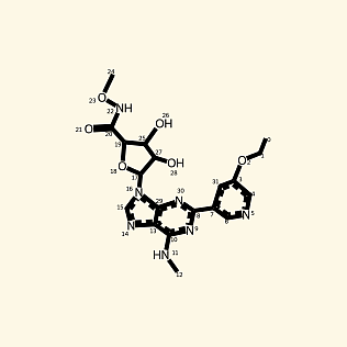 CCOc1cncc(-c2nc(NC)c3ncn(C4OC(C(=O)NOC)C(O)C4O)c3n2)c1